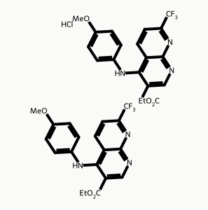 CCOC(=O)c1cnc2nc(C(F)(F)F)ccc2c1Nc1ccc(OC)cc1.CCOC(=O)c1cnc2nc(C(F)(F)F)ccc2c1Nc1ccc(OC)cc1.Cl